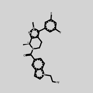 C[C@H]1c2nn(C)c(-c3cc(F)cc(F)c3)c2CCN1C(=O)c1ccc2c(ccn2CC[18F])c1